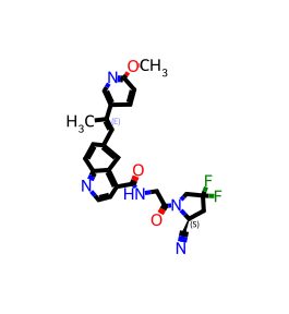 COc1ccc(/C(C)=C/c2ccc3nccc(C(=O)NCC(=O)N4CC(F)(F)C[C@H]4C#N)c3c2)cn1